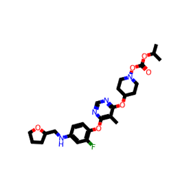 Cc1c(Oc2ccc(NCC3CCCO3)cc2F)ncnc1OC1CCN(OC(=O)OC(C)C)CC1